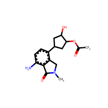 CN1Cc2c(C3CC(O)C(OC(=O)C(F)(F)F)C3)ccc(N)c2C1=O